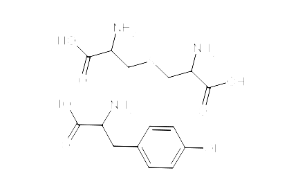 NC(CSCC(N)C(=O)O)C(=O)O.NC(Cc1ccc(O)cc1)C(=O)O